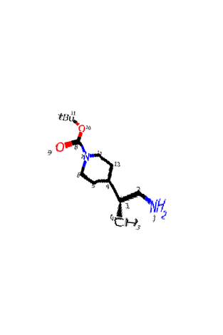 C[C@H](CN)C1CCN(C(=O)OC(C)(C)C)CC1